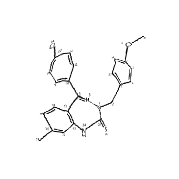 COc1ccc(CN2N=C(c3ccc(Cl)cc3)c3ccc(C)cc3NC2=S)cc1